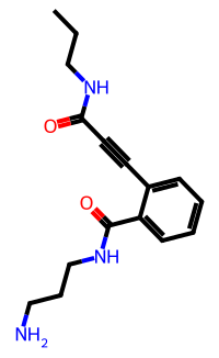 CCCNC(=O)C#Cc1ccccc1C(=O)NCCCN